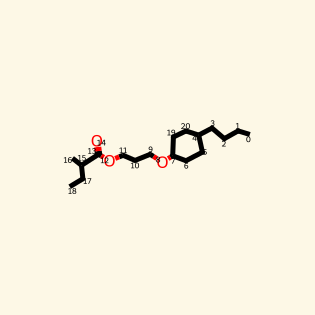 CCCCC1CCC(OCCCOC(=O)C(C)CC)CC1